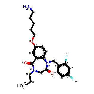 NCCCCCOc1ccc2c(c1)C(=O)N(CCC(=O)O)CC(=O)N2Cc1ccc(F)cc1F